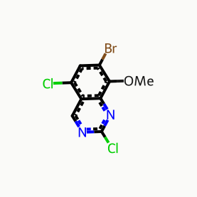 COc1c(Br)cc(Cl)c2cnc(Cl)nc12